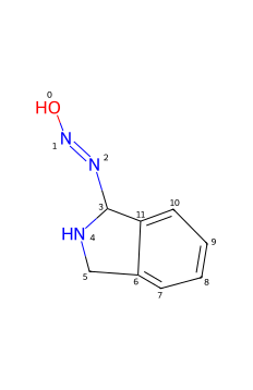 ON=NC1NCc2ccccc21